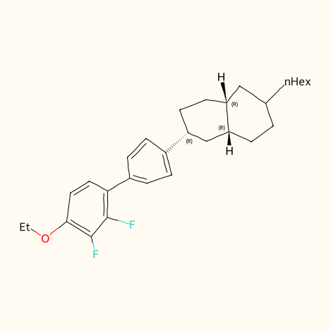 CCCCCCC1CC[C@@H]2C[C@H](c3ccc(-c4ccc(OCC)c(F)c4F)cc3)CC[C@@H]2C1